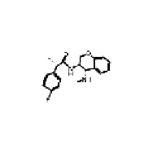 CN[C@H]1c2ccccc2OC[C@@H]1NC(=O)[C@@H](C)c1ccc(F)cc1